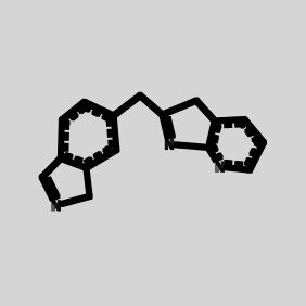 C1=NCc2cc(CC3=Nc4ncccc4C3)ccc21